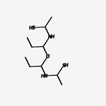 CCC(NC(C)S)OC(CC)NC(C)S